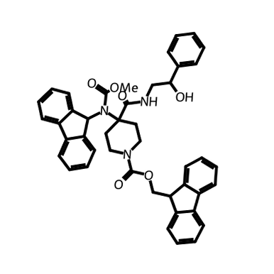 COC(=O)N(C1c2ccccc2-c2ccccc21)C1(C(=O)NCC(O)c2ccccc2)CCN(C(=O)OCC2c3ccccc3-c3ccccc32)CC1